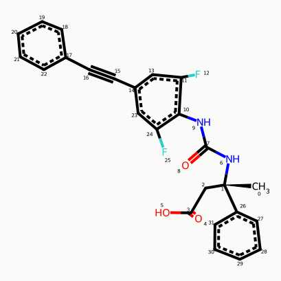 C[C@@](CC(=O)O)(NC(=O)Nc1c(F)cc(C#Cc2ccccc2)cc1F)c1ccccc1